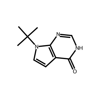 CC(C)(C)n1ccc2c(=O)[nH]cnc21